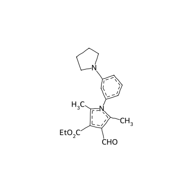 CCOC(=O)c1c(C=O)c(C)n(-c2cccc(N3CCCC3)c2)c1C